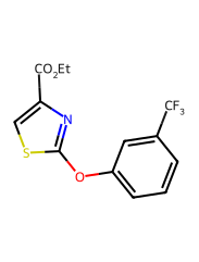 CCOC(=O)c1csc(Oc2cccc(C(F)(F)F)c2)n1